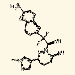 Bc1ccc2cc(C(F)(F)C(=N)n3nc(-c4cnn(C)c4)ccc3=N)ccc2n1